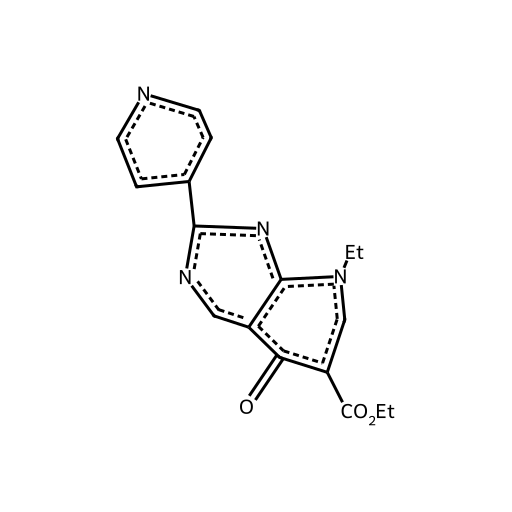 CCOC(=O)c1cn(CC)c2nc(-c3ccncc3)ncc2c1=O